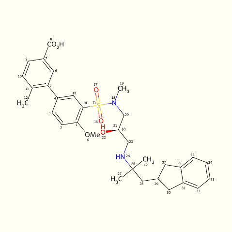 COc1ccc(-c2cc(C(=O)O)ccc2C)cc1S(=O)(=O)N(C)C[C@H](O)CNC(C)(C)CC1Cc2ccccc2C1